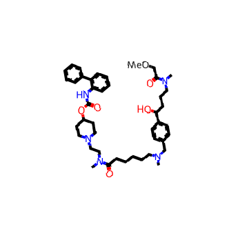 COCC(=O)N(C)CCCC(O)c1ccc(CN(C)CCCCCC(=O)N(C)CCN2CCC(OC(=O)Nc3ccccc3-c3ccccc3)CC2)cc1